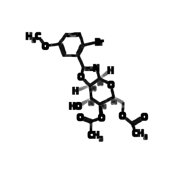 COc1ccc(Br)c(C2=N[C@H]3O[C@H](COC(C)=O)[C@@H](OC(C)=O)[C@H](O)[C@H]3O2)c1